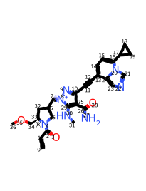 C=CC(=O)N1CC(/C=[N+]2/N=C(C#Cc3ccc(C4CC4)n4cncc34)C(C(N)=O)=C2NC)C[C@@H]1COC